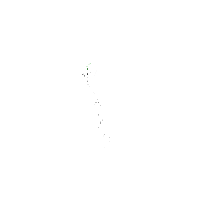 CC(C)=CCC/C(C)=C/CC/C(C)=C/CC/C(C)=C/[CH2][Mg][Cl]